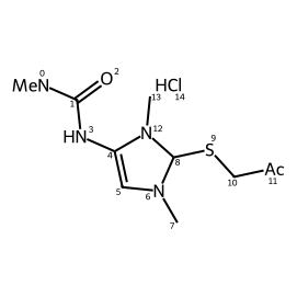 CNC(=O)NC1=CN(C)C(SCC(C)=O)N1C.Cl